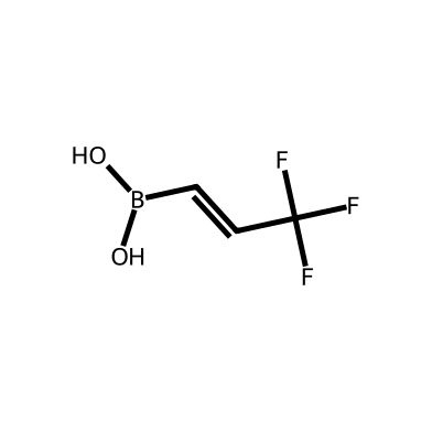 OB(O)C=CC(F)(F)F